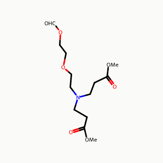 COC(=O)CCN(CCOCCOC=O)CCC(=O)OC